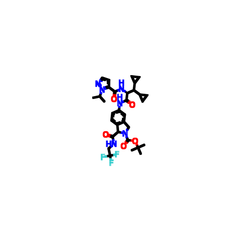 CC(C)n1nccc1C(=O)N[C@H](C(=O)Nc1ccc2c(c1)CN(C(=O)OC(C)(C)C)C2C(=O)NCC(F)(F)F)C(C1CC1)C1CC1